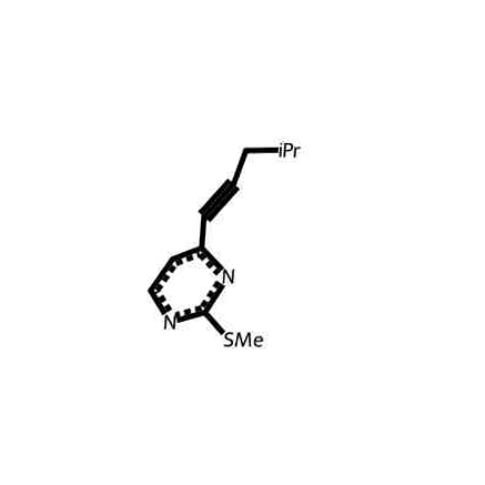 CSc1nccc(C#CCC(C)C)n1